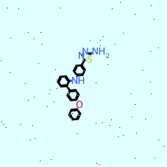 Nc1nnc(-c2ccc(Nc3ccccc3-c3ccc(Oc4ccccc4)cc3)cc2)s1